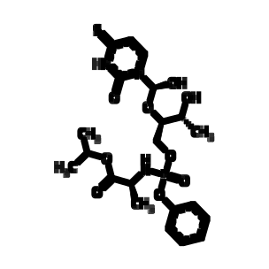 CC(C)OC(=O)[C@H](C)NP(=O)(OC[C@@H](O[C@H](O)n1ccc(=S)[nH]c1=O)[C@@H](C)O)Oc1ccccc1